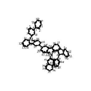 c1ccc(-c2cccc(-n3c4ccccc4c4cc(-c5ccc6c(c5)c5ccc7c(c5n6-c5ccc6ccccc6c5)C(c5ccccc5)c5ccccc5-7)ccc43)c2)cc1